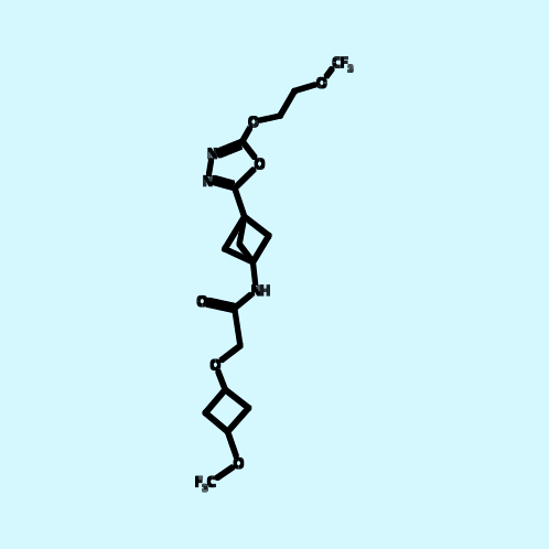 O=C(COC1CC(OC(F)(F)F)C1)NC12CC(c3nnc(OCCOC(F)(F)F)o3)(C1)C2